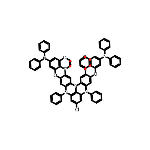 Clc1cc2c3c(c1)N(c1ccccc1)c1cc4c(cc1B3c1cc3c(cc1N2c1ccccc1)Oc1cc(N(c2ccccc2)c2ccccc2)cc2c1B3c1ccccc1O2)B1c2ccccc2Oc2cc(N(c3ccccc3)c3ccccc3)cc(c21)O4